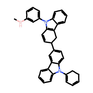 CBc1cccc(-n2c3c(c4ccccc42)CC(c2ccc4c(c2)c2ccccc2n4C2=CC=CCC2)C=C3)c1